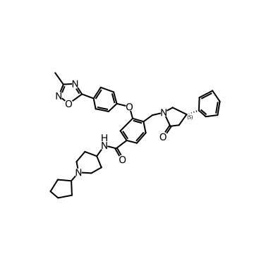 Cc1noc(-c2ccc(Oc3cc(C(=O)NC4CCN(C5CCCC5)CC4)ccc3CN3C[C@H](c4ccccc4)CC3=O)cc2)n1